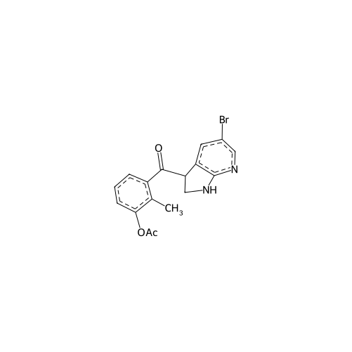 CC(=O)Oc1cccc(C(=O)C2CNc3ncc(Br)cc32)c1C